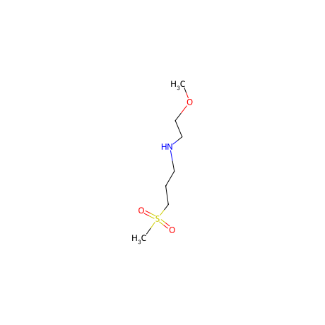 COCCNCCCS(C)(=O)=O